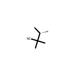 C[C@@H](I)C(C)(C)C#N